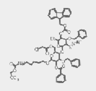 CCC1OC(OC2C(COC(=O)CCl)OC(OCCCCCCNC(=O)OCC(Cl)(Cl)Cl)C(OC(=O)c3ccccc3)C2OCc2ccccc2)C(N=[N+]=[N-])C(OCc2ccccc2)C1OC(=O)OCC1c2ccccc2-c2ccccc21